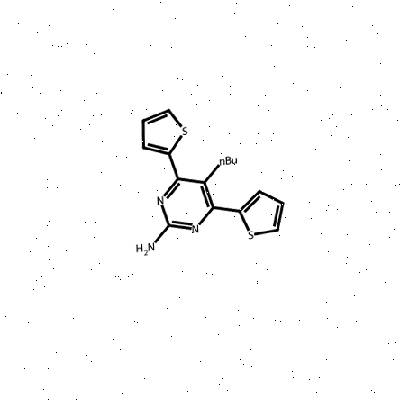 CCCCc1c(-c2cccs2)nc(N)nc1-c1cccs1